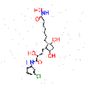 O=C(CCCCCC[C@@H]1C(CCC(O)C(=O)Nc2cccc(Cl)c2)[C@H](O)C[C@@H]1O)NO